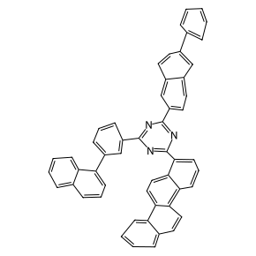 c1ccc(-c2ccc3cc(-c4nc(-c5cccc(-c6cccc7ccccc67)c5)nc(-c5cccc6c5ccc5c7ccccc7ccc65)n4)ccc3c2)cc1